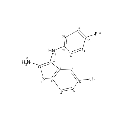 Nc1sc2ccc(Cl)cc2c1Nc1ccc(F)cc1